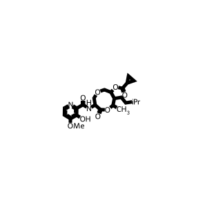 COc1ccnc(C(=O)NC2COCC(OC(=O)C3CC3)C(CCC(C)C)C(C)OC2=O)c1O